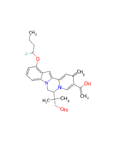 C=C(O)C1=CN2C(=CC1=C)c1cc3c(OC(F)CCC)cccc3n1CC2C(C)(C)CO